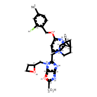 N#Cc1ccc(COc2cccc([C@@]34CCN(Cc5nc6nc(C(=O)O)oc6n5CC5CCO5)C[C@@H]3C4)n2)c(F)c1